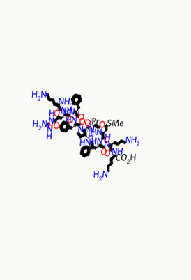 CSCC[C@H](NC(=O)[C@@H](NC(=O)[C@@H]1[C@H](C)CCN1C(=O)[C@H](Cc1ccc(O)cc1)NC(=O)[C@H](Cc1ccccc1)NC(=O)[C@H](CCCNC(=N)N)NC(=O)[C@H](N)CCCCN)C(C)C)C(=O)N[C@@H](Cc1c[nH]c2ccccc12)C(=O)N[C@@H](CCCCN)C(=O)N[C@H](CCCCN)C(=O)O